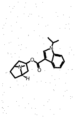 CC(C)n1cc(C(=O)OC2CC3CC[C@@H](C2)N3C)c2ccccc21